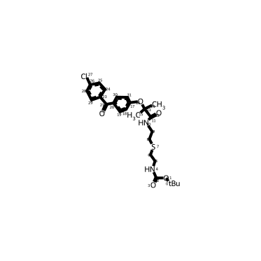 CC(C)(C)OC(=O)NCCSCCNC(=O)C(C)(C)Oc1ccc(C(=O)c2ccc(Cl)cc2)cc1